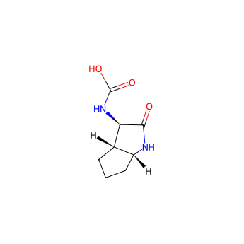 O=C(O)N[C@H]1C(=O)N[C@@H]2CCC[C@@H]21